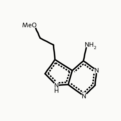 COCCc1c[nH]c2ncnc(N)c12